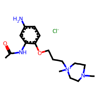 CC(=O)Nc1cc(N)ccc1OCCC[N+]1(C)CCN(C)CC1.[Cl-]